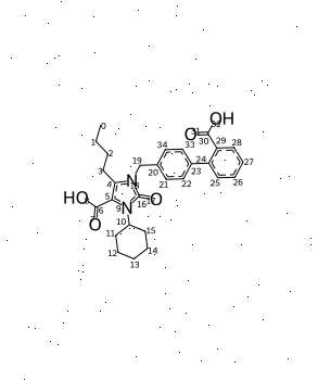 CCCCc1c(C(=O)O)n(C2CCCCC2)c(=O)n1Cc1ccc(-c2ccccc2C(=O)O)cc1